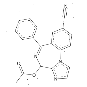 CC(=O)OC1N=C(c2ccccc2)c2cc(C#N)ccc2-n2ccnc21